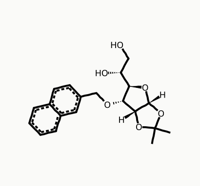 CC1(C)O[C@H]2O[C@H]([C@H](O)CO)[C@@H](OCc3ccc4ccccc4c3)[C@H]2O1